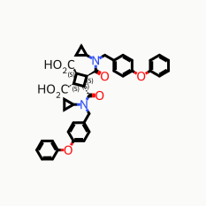 O=C(O)[C@@H]1[C@@H](C(=O)O)[C@@H](C(=O)N(Cc2ccc(Oc3ccccc3)cc2)C2CC2)[C@@H]1C(=O)N(Cc1ccc(Oc2ccccc2)cc1)C1CC1